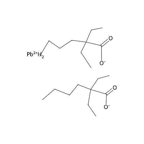 CCCCC(CC)(CC)C(=O)[O-].CCCCC(CC)(CC)C(=O)[O-].[PbH2+2]